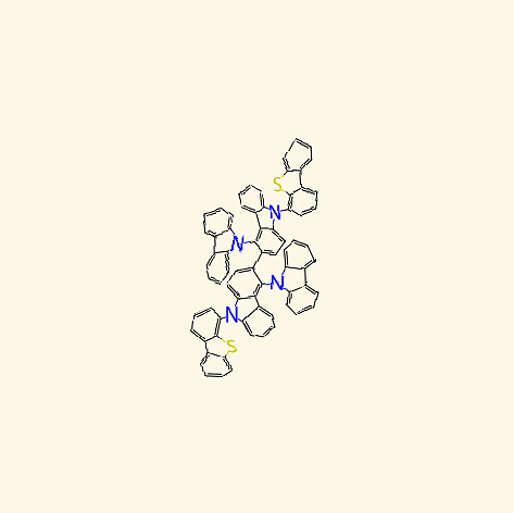 c1ccc2c(c1)sc1c(-n3c4ccccc4c4c(-n5c6ccccc6c6ccccc65)c(-c5ccc6c(c5-n5c7ccccc7c7ccccc75)c5ccccc5n6-c5cccc6c5sc5ccccc56)ccc43)cccc12